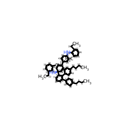 CCCCc1ccc(-c2cccc(C3(Nc4c(C)cccc4CC)C=CC(c4ccc(Nc5c(C)cccc5CC)cc4)=CC3)c2-c2ccc(CCCC)cc2)cc1